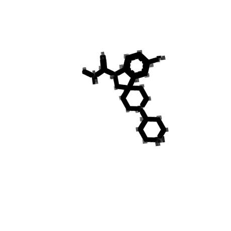 CNC(=O)N1CC2(CCN(C3CCNCC3)CC2)c2cc(F)ccc21